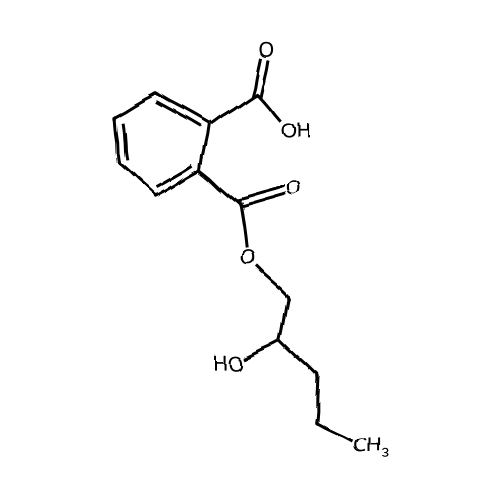 CCCC(O)COC(=O)c1ccccc1C(=O)O